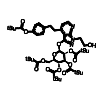 CC(C)(C)C(=O)OC[C@H]1O[C@@H](Oc2nn(CCO)c3nccc(CCc4ccc(OC(=O)C(C)(C)C)cc4)c23)[C@H](OC(=O)C(C)(C)C)[C@@H](OC(=O)C(C)(C)C)[C@@H]1OC(=O)C(C)(C)C